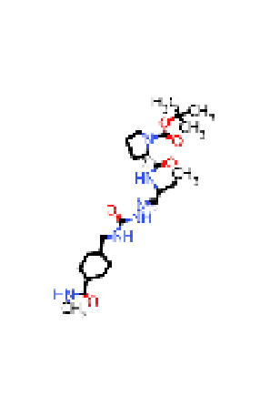 CCC(/C=N/NC(=O)NCC1CCC(C(=O)NC)CC1)NC(=O)[C@@H]1CCCN1C(=O)OC(C)(C)C